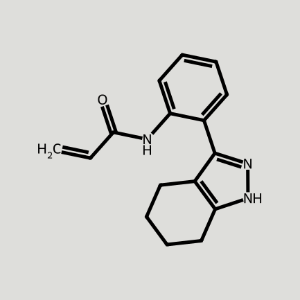 C=CC(=O)Nc1ccccc1-c1n[nH]c2c1CCCC2